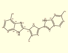 Cc1ccc2nc(-c3cc(C)c(-c4nc5c(C)cccc5[nH]4)o3)[nH]c2c1